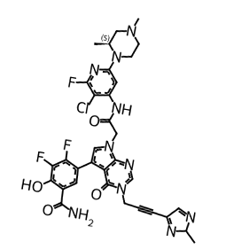 CC1N=CC(C#CCn2cnc3c(c(-c4cc(C(N)=O)c(O)c(F)c4F)cn3CC(=O)Nc3cc(N4CCN(C)C[C@@H]4C)nc(F)c3Cl)c2=O)=N1